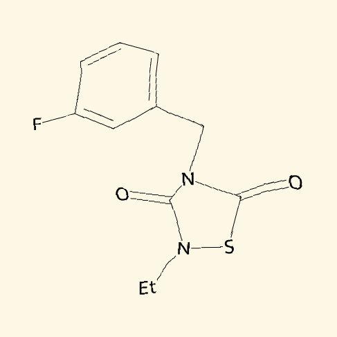 CCn1sc(=O)n(Cc2cccc(F)c2)c1=O